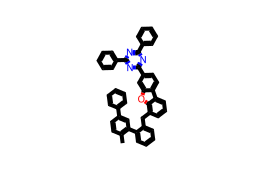 Cc1ccc(-c2ccccc2)cc1-c1ccccc1Cc1cccc2c1oc1cc(-c3nc(-c4ccccc4)nc(-c4ccccc4)n3)ccc12